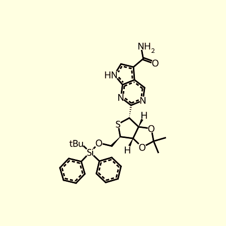 CC1(C)O[C@@H]2[C@H](O1)[C@@H](CO[Si](c1ccccc1)(c1ccccc1)C(C)(C)C)S[C@@H]2c1ncc2c(C(N)=O)c[nH]c2n1